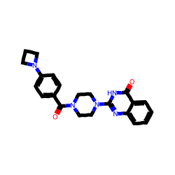 O=C(c1ccc(N2CCC2)cc1)N1CCN(c2nc3ccccc3c(=O)[nH]2)CC1